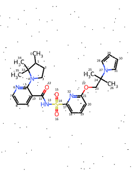 CC1CCN(c2ncccc2C(=O)NS(=O)(=O)c2cccc(OCC(C)(C)n3cccc3)n2)C1(C)C